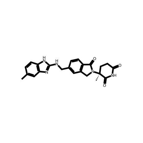 Cc1ccc2[nH]c(NCc3ccc4c(c3)CN([C@@]3(C)CCC(=O)NC3=O)C4=O)nc2c1